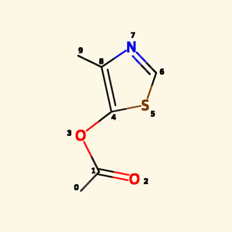 CC(=O)Oc1scnc1C